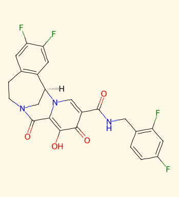 O=C(NCc1ccc(F)cc1F)c1cn2c(c(O)c1=O)C(=O)N1CCc3cc(F)c(F)cc3[C@@H]2C1